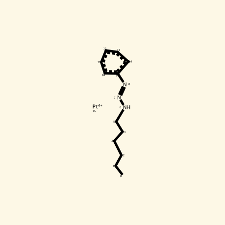 CCCCCCNN=Nc1ccccc1.[Pt+4]